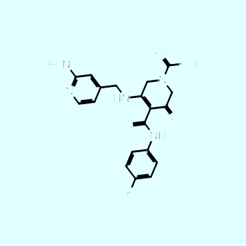 Nc1cc(CNC2=C(C(=S)Nc3ccc(F)cc3)C(=O)CN(C(=O)O)C2)ccn1